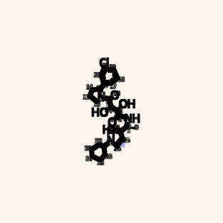 C[C@@H](NC(=O)[C@H](O)[C@@H](O)C(=O)N1CCCC1c1cccc(Cl)c1)C(=N)/C=C\NC1CCCCC1